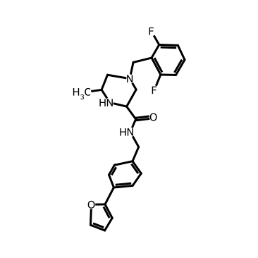 CC1CN(Cc2c(F)cccc2F)CC(C(=O)NCc2ccc(-c3ccco3)cc2)N1